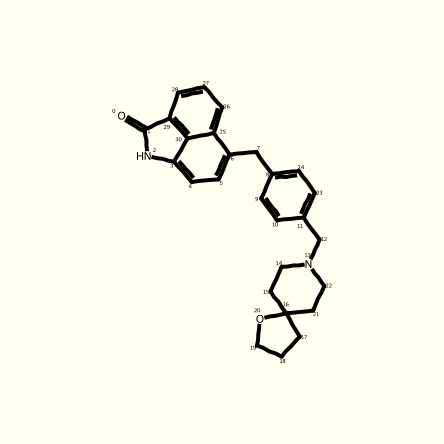 O=C1Nc2ccc(Cc3ccc(CN4CCC5(CCCO5)CC4)cc3)c3cccc1c23